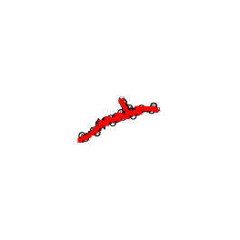 C=CC(=O)OCCCCOC(=O)CCc1nc(-c2ccc(OC(=O)C3CCC(C(=O)Oc4ccc(OC(=O)c5ccc(OCCCCOC(=O)C=C)cc5)c(C(=O)OCCOCC)c4)CC3)cc2)no1